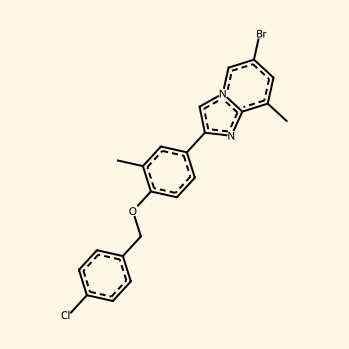 Cc1cc(-c2cn3cc(Br)cc(C)c3n2)ccc1OCc1ccc(Cl)cc1